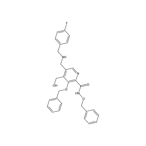 O=C(NOCc1ccccc1)c1ncc(CNCc2ccc(F)cc2)c(CO)c1OCc1ccccc1